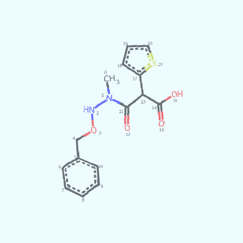 CN(NOCc1ccccc1)C(=O)C(C(=O)O)c1cccs1